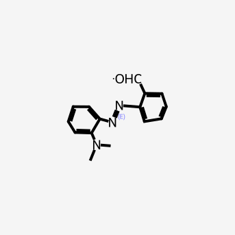 CN(C)c1ccccc1/N=N/c1ccccc1[C]=O